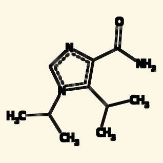 CC(C)c1c(C(N)=O)ncn1C(C)C